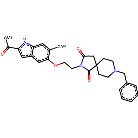 COC(=O)c1cc2cc(OCCN3C(=O)CC4(CCN(Cc5ccccc5)CC4)C3=O)c(OC)cc2[nH]1